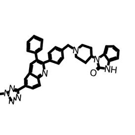 Cn1nnc(-c2ccc3nc(-c4ccc(CN5CCC(n6c(=O)[nH]c7ccccc76)CC5)cc4)c(-c4ccccc4)cc3c2)n1